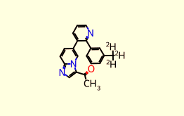 [2H]C([2H])([2H])c1cccc(-c2ncccc2-c2ccc3ncc(C(C)=O)n3c2)c1